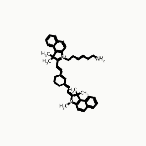 CN1/C(=C/C=C2C=C(/C=C/C3=[N+](CCCCCCN)c4ccc5ccccc5c4C3(C)C)CCC/2)C(C)(C)c2c1ccc1ccccc21